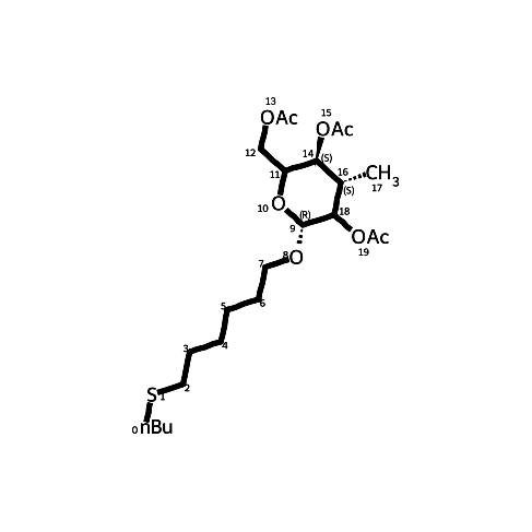 CCCCSCCCCCCO[C@@H]1OC(COC(C)=O)[C@@H](OC(C)=O)[C@H](C)C1OC(C)=O